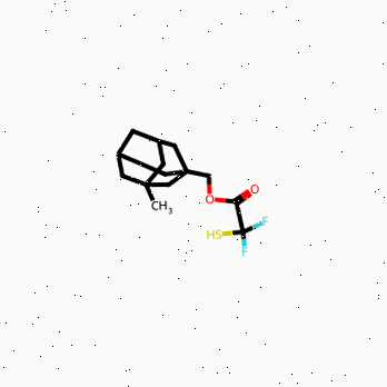 CC12CC3CC(C1)CC(COC(=O)C(F)(F)S)(C3)C2